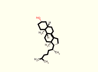 CC(C)CCC[C@@H](C)[C@H]1CCC2=C3CC[C@H]4C[C@@H](O)CC[C@]4(C)[C@H]3CC[C@@]21C